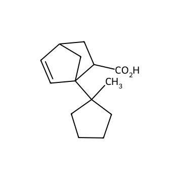 CC1(C23C=CC(CC2C(=O)O)C3)CCCC1